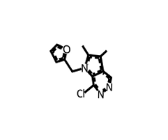 Cc1c(C)n(Cc2ccco2)c2c(Cl)nncc12